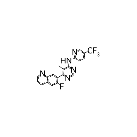 Cc1c(Nc2ccc(C(F)(F)F)cn2)ncnc1-c1cc2ncccc2cc1F